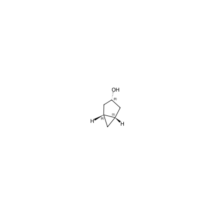 O[C@@H]1C[C@@H]2C[C@@H]2C1